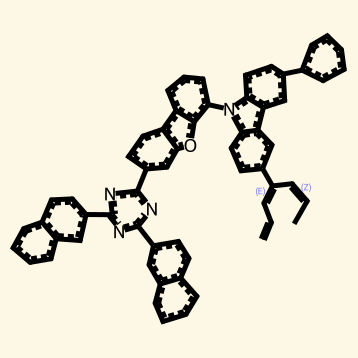 C=C/C=C(\C=C/C)c1ccc2c(c1)c1cc(-c3ccccc3)ccc1n2-c1cccc2c1oc1cc(-c3nc(-c4ccc5ccccc5c4)nc(-c4ccc5ccccc5c4)n3)ccc12